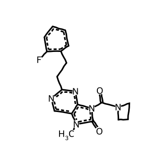 Cn1c(=O)n(C(=O)N2CCC2)c2nc(CCc3ccccc3F)ncc21